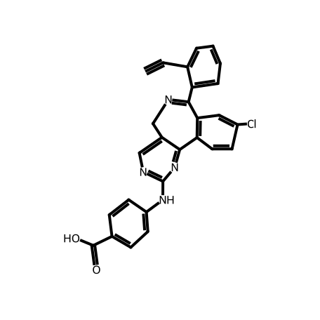 C#Cc1ccccc1C1=NCc2cnc(Nc3ccc(C(=O)O)cc3)nc2-c2ccc(Cl)cc21